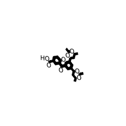 CCCC(OC(C)=O)c1cc(C(CCC)OC(C)=O)c2oc3ccc(C(=O)O)cc3c(=O)c2c1